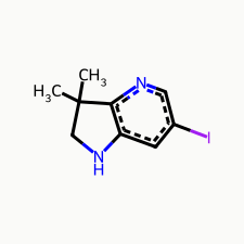 CC1(C)CNc2cc(I)cnc21